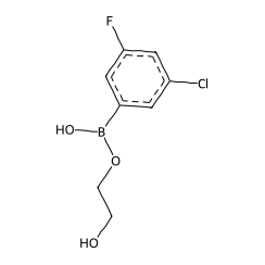 OCCOB(O)c1cc(F)cc(Cl)c1